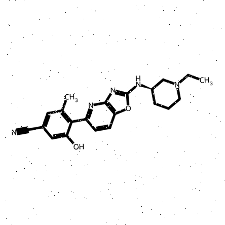 CCN1CCC[C@@H](Nc2nc3nc(-c4c(C)cc(C#N)cc4O)ccc3o2)C1